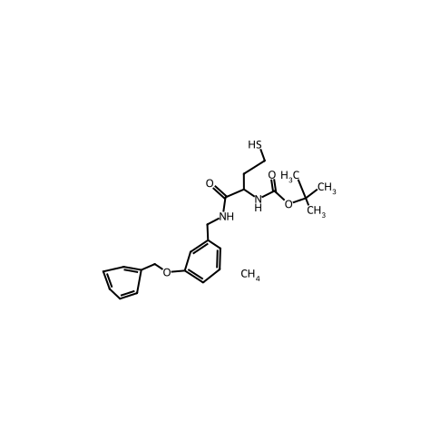 C.CC(C)(C)OC(=O)NC(CCS)C(=O)NCc1cccc(OCc2ccccc2)c1